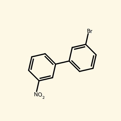 O=[N+]([O-])c1cccc(-c2cccc(Br)c2)c1